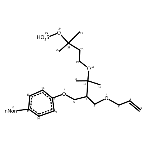 C=CCOCC(COc1ccc(CCCCCCCCC)cc1)C(C)(C)OCCC(C)(C)OS(=O)(=O)O